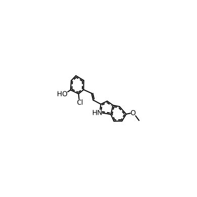 COc1ccc2[nH]c(C=Cc3cccc(O)c3Cl)cc2c1